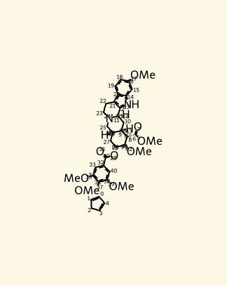 C1=CCC=C1.COC(=O)[C@H]1[C@H]2C[C@@H]3c4[nH]c5cc(OC)ccc5c4CCN3C[C@H]2C[C@@H](OC(=O)c2cc(OC)c(OC)c(OC)c2)[C@@H]1OC